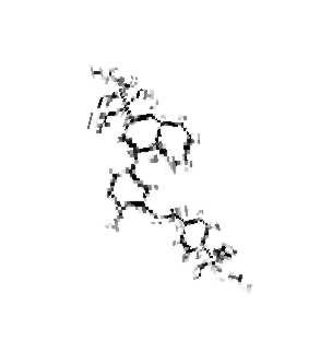 CC(C)(c1cc(-c2ccc(F)c(CNc3ccc(S(C)(=O)=O)cc3)c2)c2ncccc2c1)S(C)(=O)=O